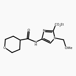 CCOC(=O)c1nc(NC(=O)C2CCOCC2)cn1COC